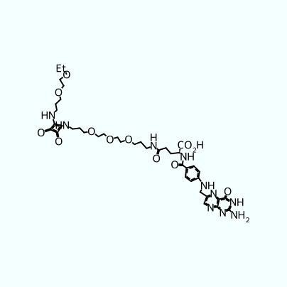 CCOCCOCCCNc1c(NCCCOCCOCCOCCCNC(=O)CC[C@H](NC(=O)c2ccc(NCc3cnc4nc(N)[nH]c(=O)c4n3)cc2)C(=O)O)c(=O)c1=O